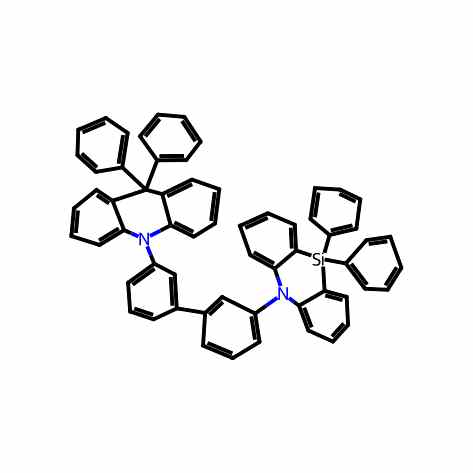 c1ccc(C2(c3ccccc3)c3ccccc3N(c3cccc(-c4cccc(N5c6ccccc6[Si](c6ccccc6)(c6ccccc6)c6ccccc65)c4)c3)c3ccccc32)cc1